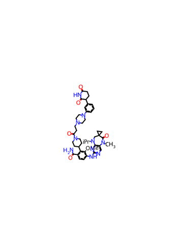 COc1c(Nc2ncc3c(n2)N(C(C)C)CC2(CC2)C(=O)N3C)ccc(C(N)=O)c1C1CCN(C(=O)CCN2CCN(c3cccc(C4CCC(=O)NC4=O)c3)CC2)CC1